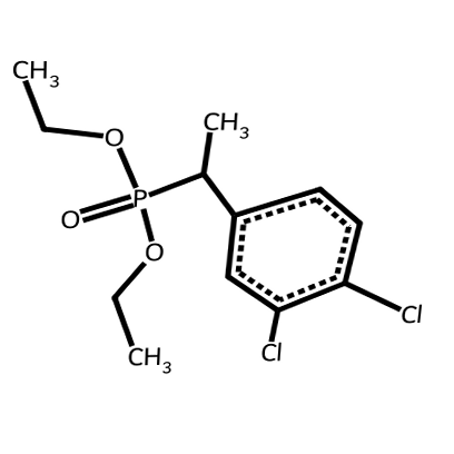 CCOP(=O)(OCC)C(C)c1ccc(Cl)c(Cl)c1